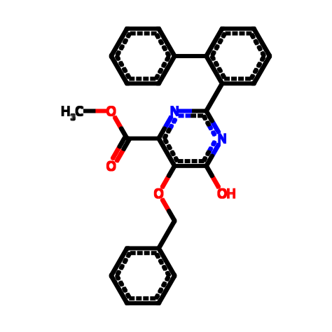 COC(=O)c1nc(-c2ccccc2-c2ccccc2)nc(O)c1OCc1ccccc1